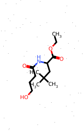 CCOC(=O)C(CC(C)(C)C)NC(=O)CCCO